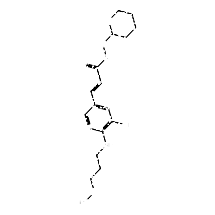 CC(C)OCCCNc1ncc(/C=C/C(=O)NOC2CCCCO2)cc1Cl